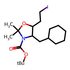 CC(C)(C)OC(=O)N1C(CC2CCCCC2)C(CCI)OC1(C)C